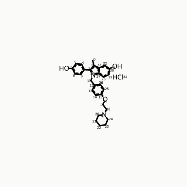 Cc1c(-c2ccc(O)cc2)n(Cc2ccc(OCCN3CCCCC3)cc2)c2ccc(O)cc12.Cl